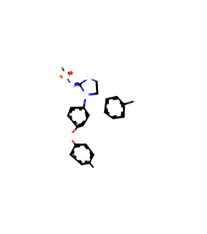 Cc1ccc(Oc2ccc(N3/C(=N/S(C)(=O)=O)NC[C@@H]3c3cccc(C(F)(F)F)c3)cc2)cc1